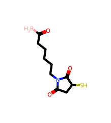 BC(=O)CCCCCN1C(=O)CC(S)C1=O